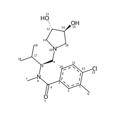 Cc1cc(C(=O)N(C)[C@H](CN2C[C@H](O)[C@@H](O)C2)C(C)C)ccc1Cl